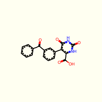 O=C(c1ccccc1)c1cccc(-c2c(C(=O)O)[nH]c(=O)[nH]c2=O)c1